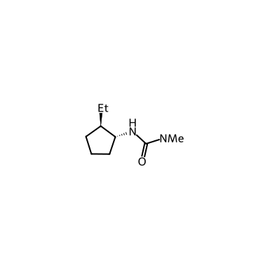 CC[C@@H]1CCC[C@H]1NC(=O)NC